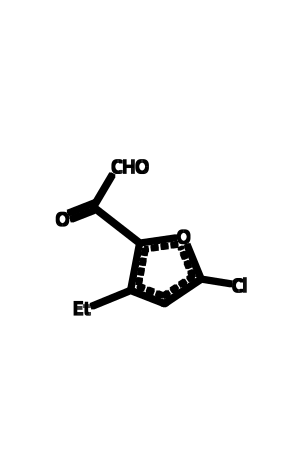 CCc1cc(Cl)oc1C(=O)C=O